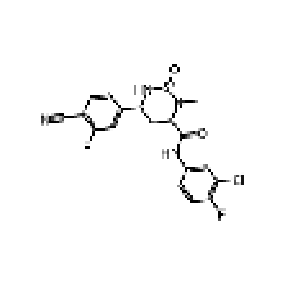 CN1C(C(=O)Nc2ccc(F)c(Cl)c2)CC(c2ccc(C#N)c(F)c2)N[S+]1[O-]